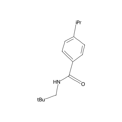 CC(C)c1ccc(C(=O)NCC(C)(C)C)cc1